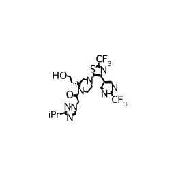 CC(C)c1ncn(CC(=O)N2CCN(c3sc(C(F)(F)F)nc3-c3cnc(C(F)(F)F)nc3)C[C@H]2CCO)n1